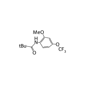 COc1cc(OC(F)(F)F)ccc1NC(=O)C(C)(C)C